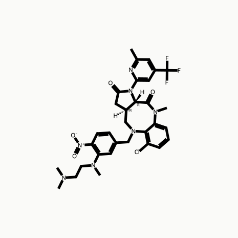 Cc1cc(C(F)(F)F)cc(N2C(=O)C[C@@H]3CN(Cc4ccc([N+](=O)[O-])c(N(C)CCN(C)C)c4)c4c(Cl)cccc4N(C)C(=O)[C@H]32)n1